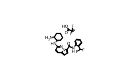 N[C@H]1CCCC[C@H]1Nc1ccc2ccc(C(=O)Nc3ccccc3C(F)F)n2n1.O=C(O)C(F)(F)F